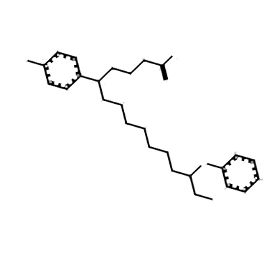 CCC(CCCCCCCC(CCCC(=O)O)c1ccc(I)cc1)Sc1ccccc1